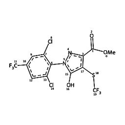 COC(=O)c1nn(-c2c(Cl)cc(C(F)(F)F)cc2Cl)c(O)c1SC(F)(F)F